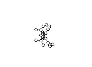 c1ccc(-c2cc(-c3ccccc3)cc(N3c4cc(-c5ccc6oc7ccccc7c6c5)ccc4B4c5ccc(-c6ccc7oc8ccccc8c7c6)cc5N(c5cc(-c6ccccc6)cc(-c6ccccc6)c5)c5cccc3c54)c2)cc1